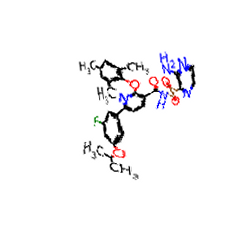 Cc1cc(C)c(Oc2nc(-c3cc(F)cc(OC(C)C)c3)ccc2C(=O)NS(=O)(=O)c2nccnc2N)c(C)c1